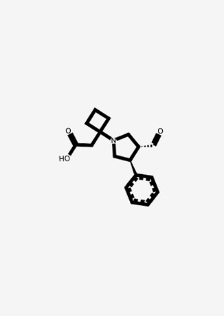 O=C[C@H]1CN(C2(CC(=O)O)CCC2)C[C@@H]1c1ccccc1